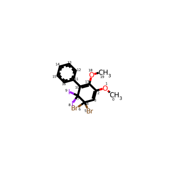 COC1=CC(Br)(Br)C(I)(I)C(c2ccccc2)=C1OC